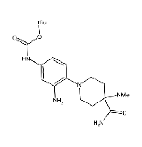 CNC1(C(N)=O)CCN(c2ccc(NC(=O)OC(C)(C)C)cc2N)CC1